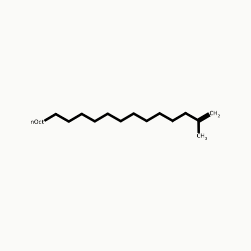 C=C(C)C[CH]CCCCCCCCCCCCCCCCC